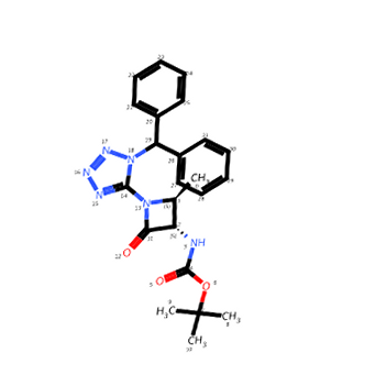 C[C@H]1[C@H](NC(=O)OC(C)(C)C)C(=O)N1c1nnnn1C(c1ccccc1)c1ccccc1